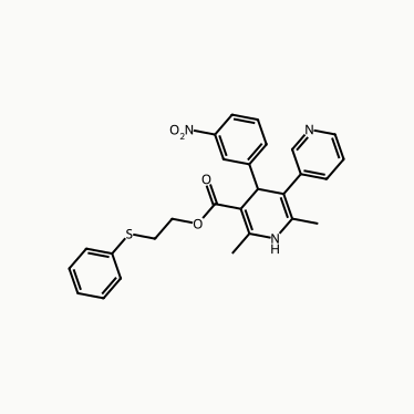 CC1=C(C(=O)OCCSc2ccccc2)C(c2cccc([N+](=O)[O-])c2)C(c2cccnc2)=C(C)N1